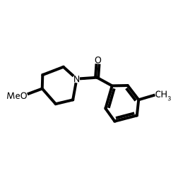 COC1CCN(C(=O)c2cccc(C)c2)CC1